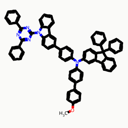 COc1ccc(-c2ccc(N(c3ccc(-c4ccc5c(c4)c4ccccc4n5-c4nc(-c5ccccc5)nc(-c5ccccc5)n4)cc3)c3ccc4c(c3)-c3ccccc3C4(c3ccccc3)c3ccccc3)cc2)cc1